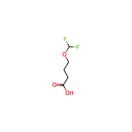 O=C(O)CCCOC(F)F